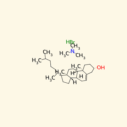 Br.CC(C)CCCC(C)[C@H]1CC[C@H]2[C@@H]3CC=C4C[C@@H](O)CC[C@]4(C)[C@H]3CC[C@]12C.CN(C)C